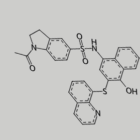 CC(=O)N1CCc2cc(S(=O)(=O)Nc3cc(Sc4cccc5cccnc45)c(O)c4ccccc34)ccc21